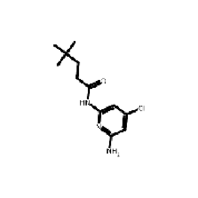 CC(C)(C)CCC(=O)Nc1cc(Cl)cc(N)n1